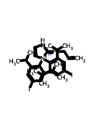 C=C[CH2]/[Pd]=[C]1\NC=C[N+]1(c1c(C(C)C)cc(I)cc1C(C)C)c1c(C(C)C)cc(I)cc1C(C)C